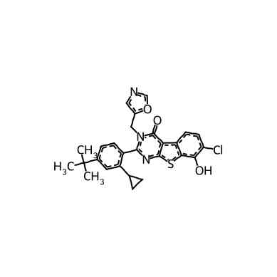 CC(C)(C)c1ccc(-c2nc3sc4c(O)c(Cl)ccc4c3c(=O)n2Cc2cnco2)c(C2CC2)c1